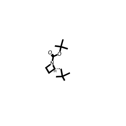 CC(C)(C)C[C@@H]1CCN1C(=O)OC(C)(C)C